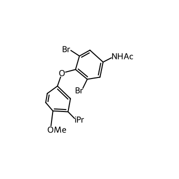 COc1ccc(Oc2c(Br)cc(NC(C)=O)cc2Br)cc1C(C)C